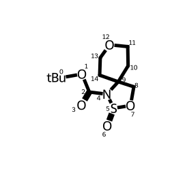 CC(C)(C)OC(=O)N1S(=O)OCC12CCOCC2